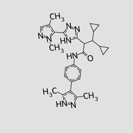 Cc1cnn(C)c1-c1nnc(C(C(=O)Nc2ccc(-c3c(C)n[nH]c3C)cc2)C(C2CC2)C2CC2)[nH]1